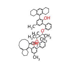 C=C1CCCCC/C=C2/CCCC/C2=C/1c1cc(C)cc(-c2ccccc2OC(C)C(C)(C)[C@H](C)Oc2ccccc2-c2cc(C)cc(-c3c4c(cc5c3CCCC5)CCCC4)c2O)c1O